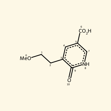 COCCc1cc(C(=O)O)c[nH]c1=O